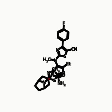 CCc1nc2sc(N3C4CCC3CC(N(C)C(N)=O)C4)nn2c1N(C)c1nc(-c2ccc(F)cc2)c(C#N)s1